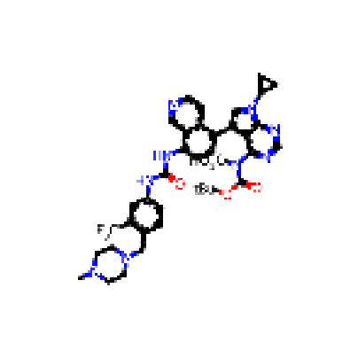 CN1CCN(Cc2ccc(NC(=O)Nc3ccc(-c4cn(C5CC5)c5ncnc(N(C(=O)O)C(=O)OC(C)(C)C)c45)c4ccncc34)cc2C(F)(F)F)CC1